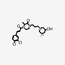 CC1C(=O)N(CCCN2C[C@@H](C)C[C@H](O)C2)CCN1C(=O)C=Cc1ccc(Cl)c(Cl)c1